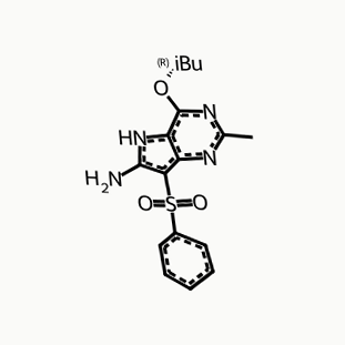 CC[C@@H](C)Oc1nc(C)nc2c(S(=O)(=O)c3ccccc3)c(N)[nH]c12